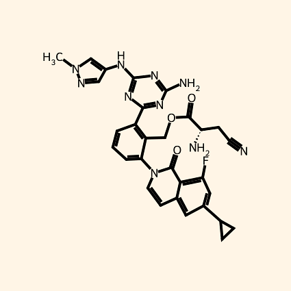 Cn1cc(Nc2nc(N)nc(-c3cccc(-n4ccc5cc(C6CC6)cc(F)c5c4=O)c3COC(=O)[C@@H](N)CC#N)n2)cn1